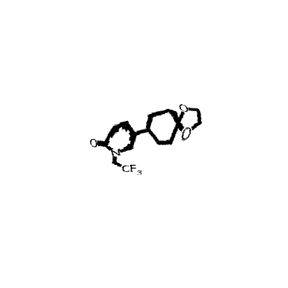 O=c1ccc(C2CCC3(CC2)OCCO3)cn1CC(F)(F)F